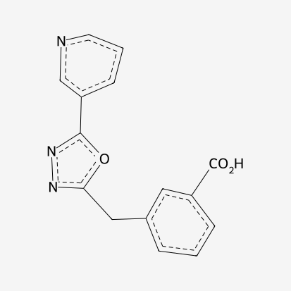 O=C(O)c1cccc(Cc2nnc(-c3cccnc3)o2)c1